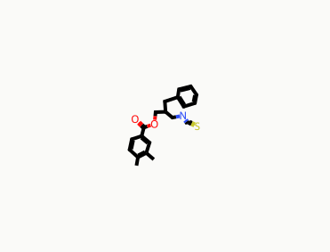 Cc1ccc(C(=O)OCC(CN=C=S)Cc2ccccc2)cc1C